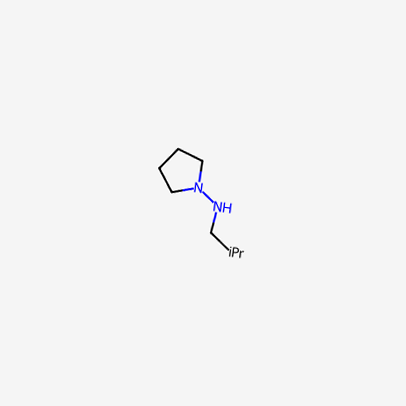 CC(C)CNN1CCCC1